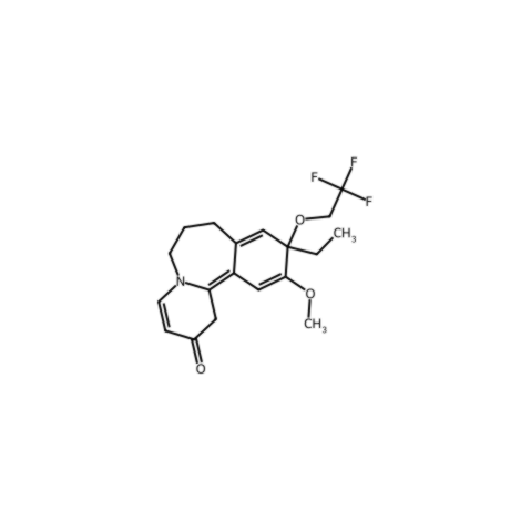 CCC1(OCC(F)(F)F)C=C2CCCN3C=CC(=O)CC3=C2C=C1OC